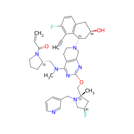 C#Cc1c(F)ccc2c1[C@@H](N1CCc3c(nc(OC[C@]4(C)C[C@@H](F)CN4Cc4cccnc4)nc3N(C)C[C@@H]3CCCN3C(=O)C=C)C1)C[C@H](O)C2